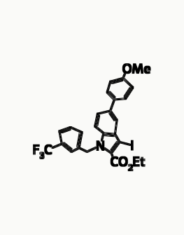 CCOC(=O)c1c(I)c2cc(-c3ccc(OC)cc3)ccc2n1Cc1cccc(C(F)(F)F)c1